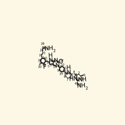 C=CC[C@H](C[C@@H]1CCC[C@@H](c2ccc(-n3cc4cc(-c5cc(CCC[C@H](C)N)cc(C)c5F)[nH]c4nc3=O)cc2)N1)NC(=N)CN